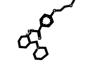 COCCOc1ccc(C(=O)N[C@@H]2CCCCC2CN2CCCCC2)cc1